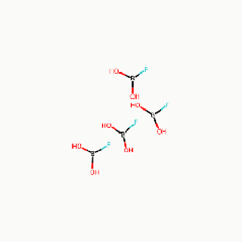 OB(O)F.OB(O)F.OB(O)F.OB(O)F